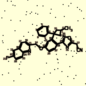 CC1CC(c2ccccc2)(c2cc(OCc3ccc4cc(F)ccc4n3)ccc2-c2noc(CC#N)n2)C1